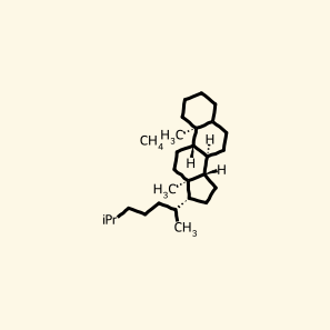 C.CC(C)CCCC(C)[C@H]1CC[C@H]2[C@@H]3CCC4CCCC[C@]4(C)[C@H]3CC[C@]12C